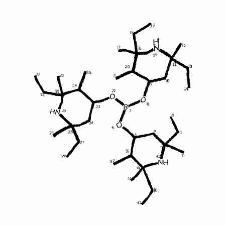 CCC1(C)CC(OB(OC2CC(C)(CC)NC(C)(CC)C2C)OC2CC(C)(CC)NC(C)(CC)C2C)C(C)C(C)(CC)N1